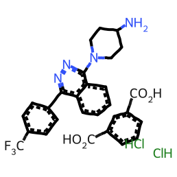 Cl.Cl.NC1CCN(c2nnc(-c3ccc(C(F)(F)F)cc3)c3ccccc23)CC1.O=C(O)c1cccc(C(=O)O)c1